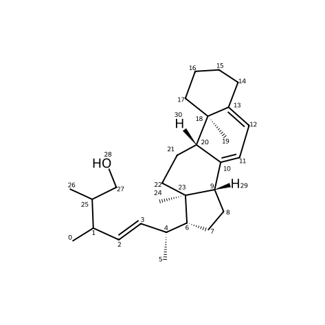 CC(C=C[C@@H](C)[C@H]1CC[C@H]2C3=CC=C4CCCC[C@]4(C)[C@H]3CC[C@]12C)C(C)CO